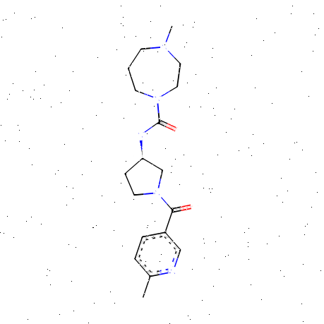 Cc1ccc(C(=O)N2CC[C@@H](NC(=O)N3CCCN(C)CC3)C2)cn1